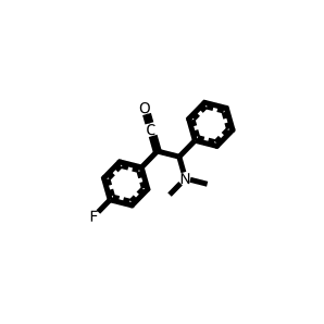 CN(C)C(C(=C=O)c1ccc(F)cc1)c1ccccc1